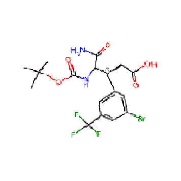 CC(C)(C)OC(=O)NC(C(N)=O)[C@@H](CC(=O)O)c1cc(Br)cc(C(F)(F)F)c1